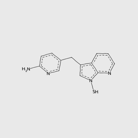 Nc1ccc(Cc2cn(S)c3ncccc23)cn1